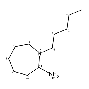 CCCCCN1CCCCCC1N